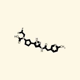 Cc1ccc(CC(=O)Nc2cc(C3CCC(N(CC(F)F)C(=O)O)C3)[nH]n2)cn1